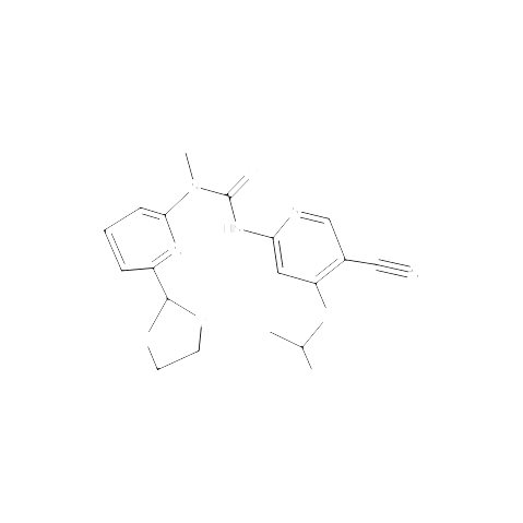 CC(C)Oc1cc(NC(=O)N(C)c2cccc(C3OCCO3)n2)ncc1C#N